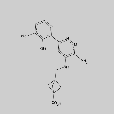 CCCc1cccc(-c2cc(NCC34CC(C(=O)O)(C3)C4)c(N)nn2)c1O